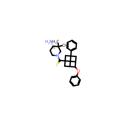 CC1(C)CN(C(=S)C23CC4C(Oc5ccccc5)C5CC(c6ccccc6)(C2)C453)CC[C@@H]1N